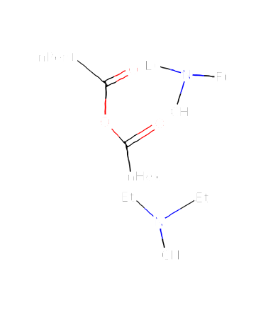 CCCCCCC(=O)OC(=O)CCCCC.CCN(C)CC.CCN(C)CC